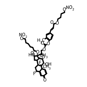 Cc1cc(/C=C/C(=O)OCCCCO[N+](=O)[O-])ccc1OC(=O)OCC(=O)[C@@]1(OC(=O)CCCCCO[N+](=O)[O-])[C@H](O)CC2C3C[C@H](F)C4=CC(=O)C=C[C@]4(C)[C@@]3(F)[C@@H](O)C[C@@]21C